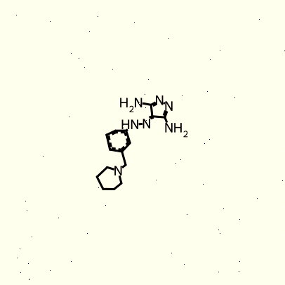 NC1=NN=C(N)C1=NNc1cccc(CN2CCCCC2)c1